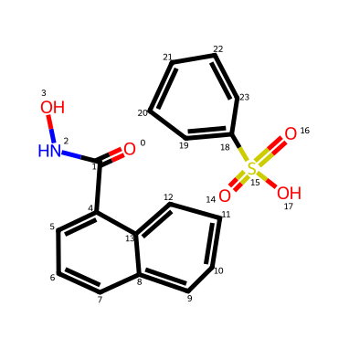 O=C(NO)c1cccc2ccccc12.O=S(=O)(O)c1ccccc1